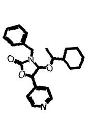 CC(OC1C(c2ccncc2)OC(=O)N1Cc1ccccc1)C1CCCCC1